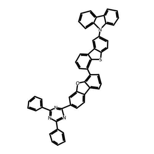 c1ccc(-c2nc(-c3ccccc3)nc(-c3ccc4c(c3)oc3c(-c5cccc6c5sc5ccc(-n7c8ccccc8c8ccccc87)cc56)cccc34)n2)cc1